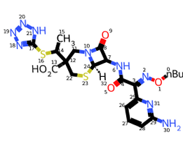 CCCCON=C(C(=O)NC1C(=O)N2CC(C(=O)O)(C(C)Sc3nnn[nH]3)CS[C@H]12)c1cccc(N)n1